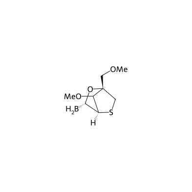 B[C@@H]1O[C@]2(COC)CS[C@@H]1C2OC